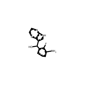 Nc1cccc(C(O)c2c[nH]c3nccnc23)c1F